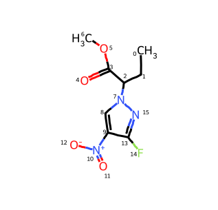 CCC(C(=O)OC)n1cc([N+](=O)[O-])c(F)n1